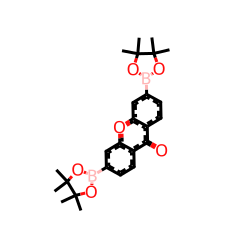 CC1(C)OB(c2ccc3c(=O)c4ccc(B5OC(C)(C)C(C)(C)O5)cc4oc3c2)OC1(C)C